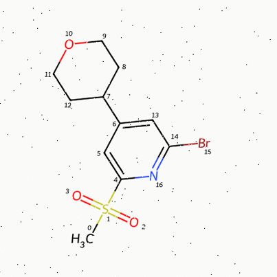 CS(=O)(=O)c1cc(C2CCOCC2)cc(Br)n1